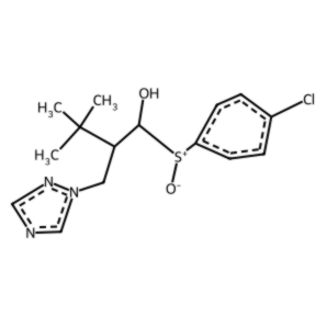 CC(C)(C)C(Cn1cncn1)C(O)[S+]([O-])c1ccc(Cl)cc1